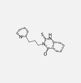 O=c1c2ccccc2[nH]c(=S)n1CCCc1ccccn1